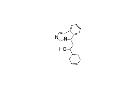 OC(CC1c2ccccc2-c2cncn21)C1CC=CCC1